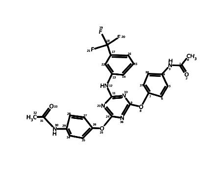 CC(=O)Nc1ccc(Oc2nc(Nc3cccc(C(F)(F)F)c3)nc(Oc3ccc(NC(C)=O)cc3)n2)cc1